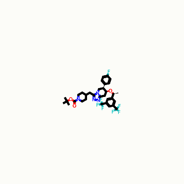 C[C@@H](O[C@H]1Cc2nnc(CC3CCN(C(=O)OC(C)(C)C)CC3)n2C[C@@H]1c1ccc(F)cc1)c1cc(C(F)(F)F)cc(C(F)(F)F)c1